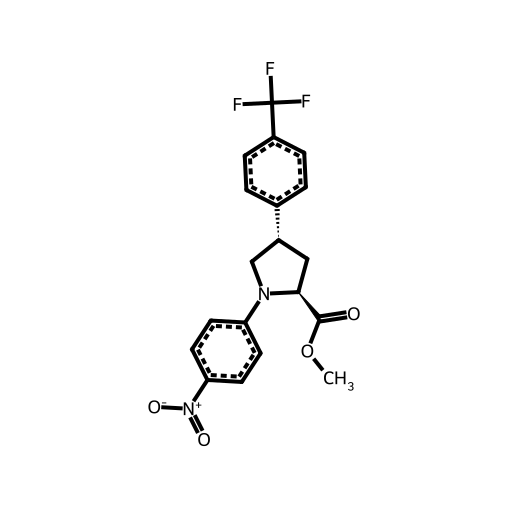 COC(=O)[C@@H]1C[C@@H](c2ccc(C(F)(F)F)cc2)CN1c1ccc([N+](=O)[O-])cc1